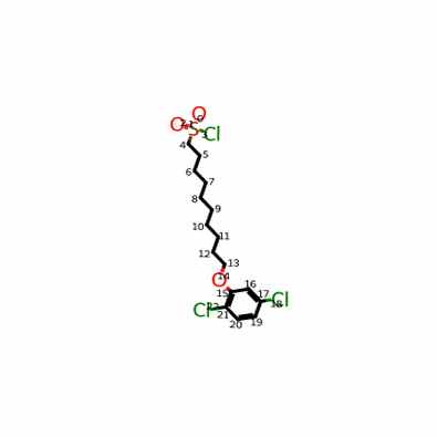 O=S(=O)(Cl)CCCCCCCCCCOc1cc(Cl)ccc1Cl